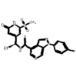 CC[C@H](NC(=O)c1cncc2c1cnn2-c1ccc(F)cc1)c1cc(S(C)(=O)=O)[nH]c(=O)c1